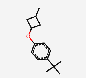 CC1CC(Oc2ccc(C(C)(C)C)cc2)C1